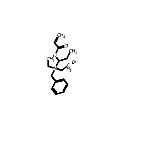 C=CC(=O)OC(CC)[N+](CC)(CC)Cc1ccccc1.[Br-]